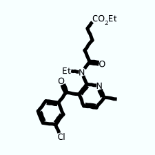 CCOC(=O)CCCC(=O)N(CC)c1nc(C)ccc1C(=O)c1cccc(Cl)c1